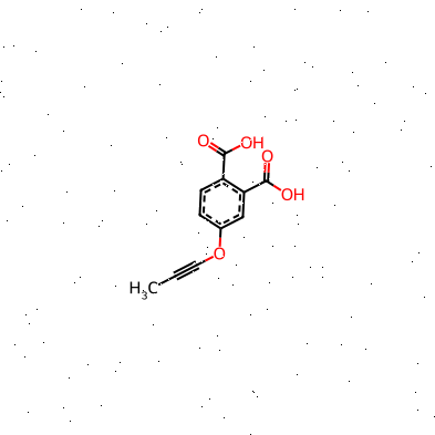 CC#COc1ccc(C(=O)O)c(C(=O)O)c1